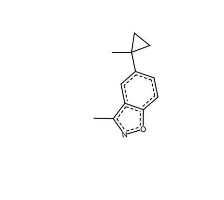 Cc1noc2ccc(C3(C)CC3)cc12